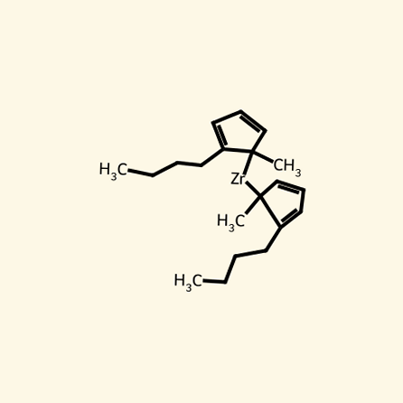 CCCCC1=CC=C[C]1(C)[Zr][C]1(C)C=CC=C1CCCC